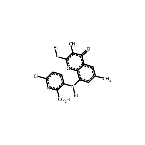 CCSc1oc2c(N(CC)c3ccc(Cl)nc3C(=O)O)cc(C)cc2c(=O)c1C